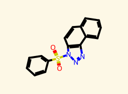 O=S(=O)(c1ccccc1)n1nnc2c3ccccc3ccc21